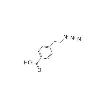 [N-]=[N+]=NCCc1ccc(C(=O)O)cc1